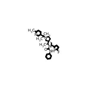 Cc1ccc(C(C)(C)N2CC[C@@](CCc3ccc(F)s3)([C@H](C)NC(=O)Nc3ccccc3)C2)cn1